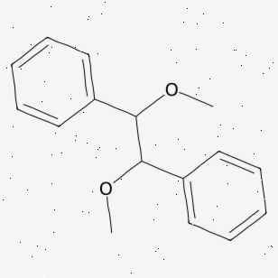 COC(c1ccccc1)C(OC)c1ccccc1